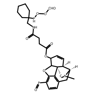 CN1CC[C@]23c4c5ccc(P=O)c4OC2C(OC(=O)CCC(=O)NCC2(POOC=O)CCCCC2)C=C[C@H]3[C@H]1C5